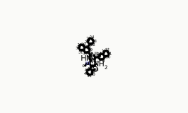 C/C=C(/C1=NC(c2ccc3ccccc3c2)NC(c2cc(-c3ccccc3)c3ccccc3c2)N1)c1c(N)oc2ccccc12